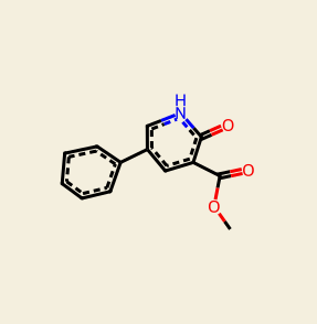 COC(=O)c1cc(-c2ccccc2)c[nH]c1=O